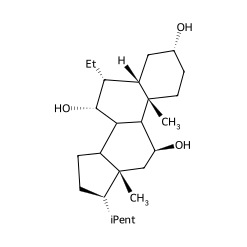 CCC[C@@H](C)[C@H]1CCC2C3C([C@@H](O)C[C@@]21C)[C@@]1(C)CC[C@@H](O)C[C@H]1[C@@H](CC)[C@H]3O